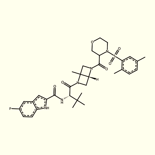 Cc1ccc(C)c(S(=O)(=O)N2CCOCC2C(=O)N2CC3(C)[C@H]2CN3C(=O)[C@@H](NC(=O)c2cc3cc(F)ccc3[nH]2)C(C)(C)C)c1